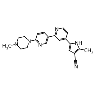 Cc1[nH]c(-c2ccnc(-c3ccc(N4CCN(C)CC4)nc3)c2)cc1C#N